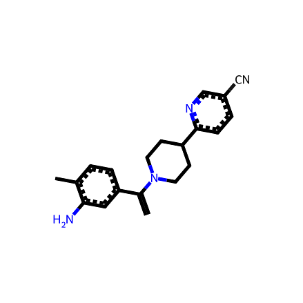 C=C(c1ccc(C)c(N)c1)N1CCC(c2ccc(C#N)cn2)CC1